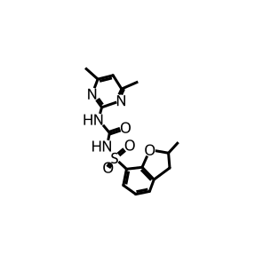 Cc1cc(C)nc(NC(=O)NS(=O)(=O)c2cccc3c2OC(C)C3)n1